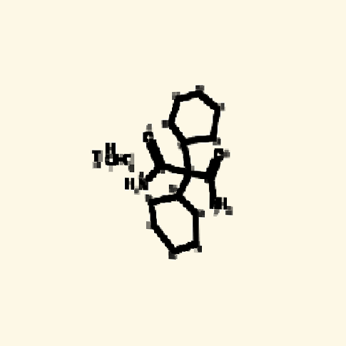 Cl.Cl.NC(=O)C(C(N)=O)(C1CCCCC1)C1CCCCC1.[Ti]